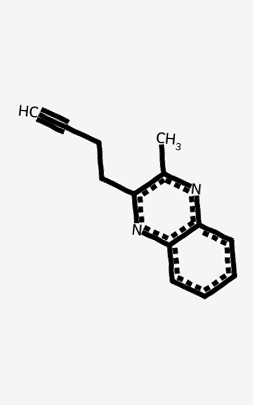 C#CCCc1nc2ccccc2nc1C